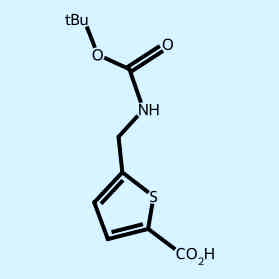 CC(C)(C)OC(=O)NCc1ccc(C(=O)O)s1